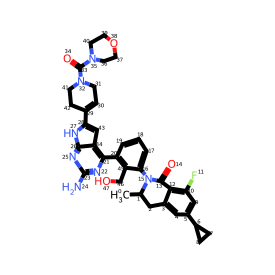 CC1Cc2cc(C3CC3)cc(F)c2C(=O)N1c1cccc(-c2nc(N)nc3[nH]c(C4=CCN(C(=O)N5CCOCC5)CC4)cc23)c1CO